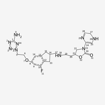 Nc1nnn(CCOc2cc(F)c3c(c2)CC(CNCCC2CN(C4=CNCC=N4)C(=O)O2)C3)n1